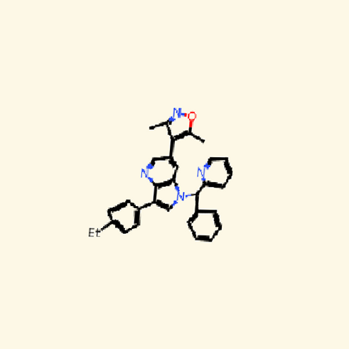 CCc1ccc(-c2cn([C@H](c3ccccc3)c3ccccn3)c3cc(-c4c(C)noc4C)cnc23)cc1